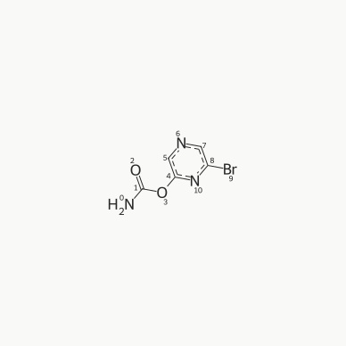 NC(=O)Oc1cncc(Br)n1